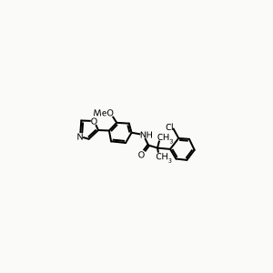 COc1cc(NC(=O)C(C)(C)c2ccccc2Cl)ccc1-c1cnco1